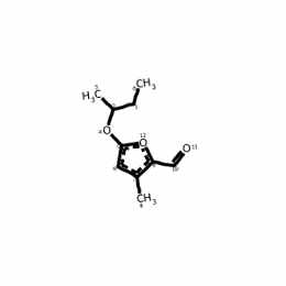 CCC(C)Oc1cc(C)c(C=O)o1